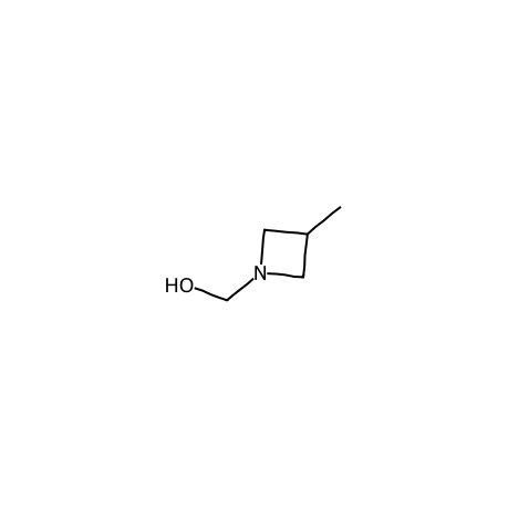 CC1CN(CO)C1